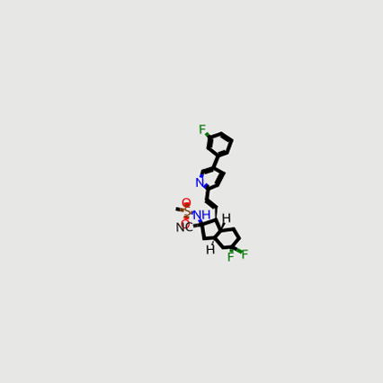 CS(=O)(=O)NC1(C#N)C[C@@H]2CC(F)(F)CC[C@H]2[C@@H]1C=Cc1ccc(-c2cccc(F)c2)cn1